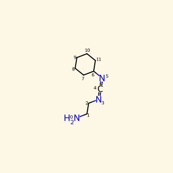 NCCN=C=NC1CCCCC1